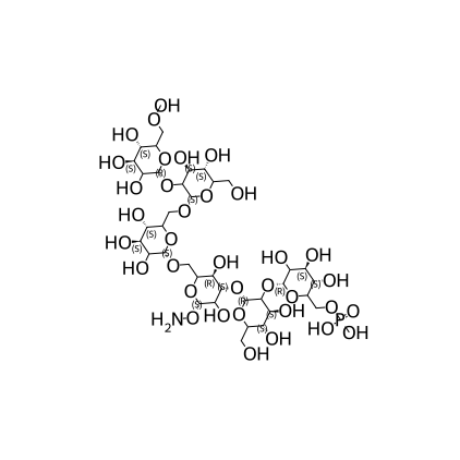 NO[C@@H]1OC(CO[C@H]2OC(CO[C@H]3OC(CO)[C@@H](O)[C@H](O)C3O[C@H]3OC(COO)[C@@H](O)[C@H](O)C3O)[C@@H](O)[C@H](O)C2O)[C@@H](O)[C@H](O[C@H]2OC(CO)[C@@H](O)[C@H](O)C2O[C@H]2OC(COP(=O)(O)O)[C@@H](O)[C@H](O)C2O)C1O